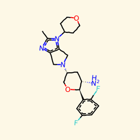 Cc1nc2c(n1C1CCOCC1)CN([C@H]1CO[C@H](c3cc(F)ccc3F)[C@@H](N)C1)C2